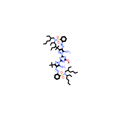 CCCCC(CC)CN(C(CC)CCCC)S(=O)(=O)c1ccccc1/N=N/c1c(C(C)(C)C)nn(-c2nc(OC)nc(-n3nc(C(C)(C)C)c(/N=N/c4ccccc4S(=O)(=O)N(CC(CC)CCCC)C(CC)CCCC)c3N)n2)c1N